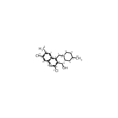 Cc1cc2c(CN3CCC(C)CC3)c(CO)c(Cl)nc2cc1Cl